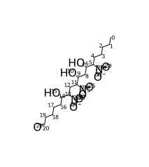 CCCCCC(C(O)CC(O)C(CC(C(O)CCCCC=O)[N+](=O)[O-])[N+](=O)[O-])[N+](=O)[O-]